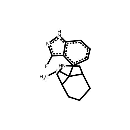 COC1(c2cccc3[nH]nc(F)c23)C2CCCC1CNC2